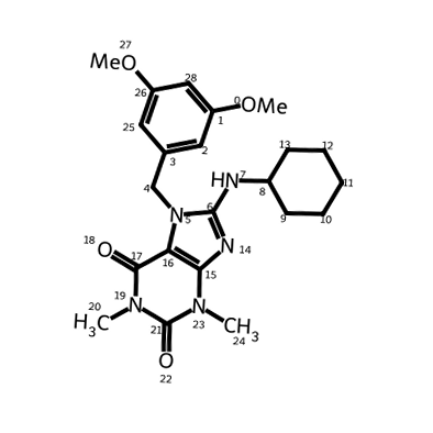 COc1cc(Cn2c(NC3CCCCC3)nc3c2c(=O)n(C)c(=O)n3C)cc(OC)c1